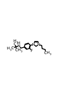 CCCCN1C=CN(c2ccc(CNC(C)(C)C)cc2F)C1